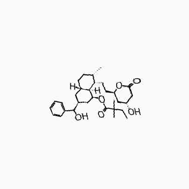 CCC(C)(C)C(=O)O[C@H]1C[C@@H](C(O)c2ccccc2)C[C@@H]2CC[C@H](C)[C@H](CC[C@@H]3C[C@@H](O)CC(=O)O3)[C@H]21